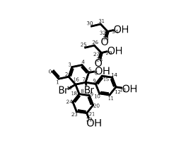 C=CC1=CC=C(O)C(Br)(c2ccc(O)cc2)C1(Br)c1ccc(O)cc1.CCC(=O)O.CCC(=O)O